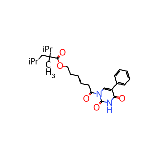 CC(C)CC(C)(C(=O)OCCCCCC(=O)n1cc(-c2ccccc2)c(=O)[nH]c1=O)C(C)C